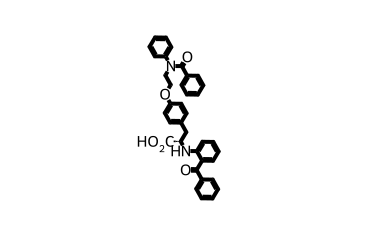 O=C(c1ccccc1)c1ccccc1N[C@@H](Cc1ccc(OCCN(C(=O)c2ccccc2)c2ccccc2)cc1)C(=O)O